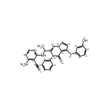 CC(Nc1ncnc(N)c1C#N)c1nn2ccc(Sc3cccc(O)c3)c2c(=O)n1-c1ccccc1